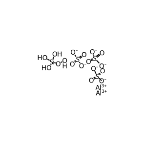 O=S(=O)([O-])[O-].O=S(=O)([O-])[O-].O=S(=O)([O-])[O-].OO[Si](O)(O)O.[Al+3].[Al+3]